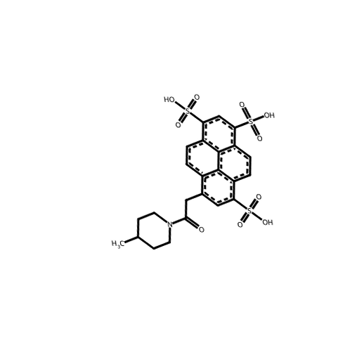 CC1CCN(C(=O)Cc2cc(S(=O)(=O)O)c3ccc4c(S(=O)(=O)O)cc(S(=O)(=O)O)c5ccc2c3c54)CC1